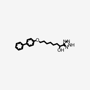 OC(CCCCCCOc1ccc(-c2ccccc2)cc1)c1nn[nH]n1